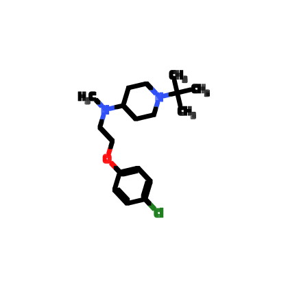 CN(CCOc1ccc(Cl)cc1)C1CCN(C(C)(C)C)CC1